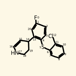 Fc1ccc(Sc2ccccc2Cl)c(C2C=CNCC2)c1